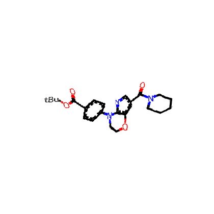 CC(C)(C)OC(=O)c1ccc(N2CCOc3cc(C(=O)N4CCCCC4)cnc32)cc1